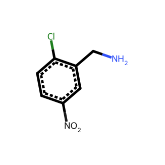 NCc1cc([N+](=O)[O-])ccc1Cl